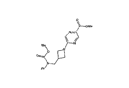 COC(=O)c1cnc(N2CC(CN(C(=O)OC(C)(C)C)C(C)C)C2)cn1